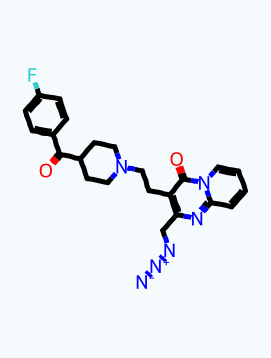 [N-]=[N+]=NCc1nc2ccccn2c(=O)c1CCN1CCC(C(=O)c2ccc(F)cc2)CC1